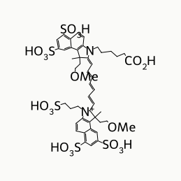 COCCC1(C)C(/C=C/C=C/C=C/C=C2/N(CCCCCC(=O)O)c3ccc4c(S(=O)(=O)O)cc(S(=O)(=O)O)cc4c3C2(C)CCOC)=[N+](CCCS(=O)(=O)O)c2ccc3c(S(=O)(=O)O)cc(S(=O)(=O)O)cc3c21